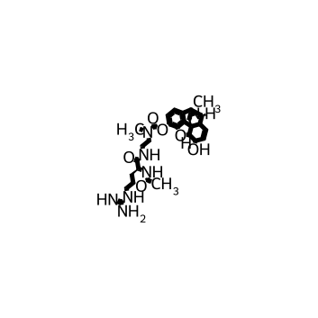 CC(=O)N[C@@H](CCCNC(=N)N)C(=O)NCCN(C)C(=O)Oc1ccc2c3c1O[C@H]1C(O)C=CC4[C@@H](C2)N(C)CC[C@@]341